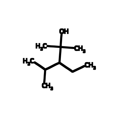 CCC(C(C)C)C(C)(C)O